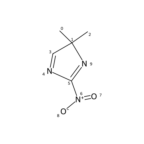 CC1(C)C=NC([N+](=O)[O-])=N1